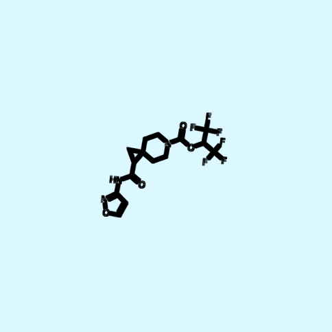 O=C(Nc1ccon1)C1CC12CCN(C(=O)OC(C(F)(F)F)C(F)(F)F)CC2